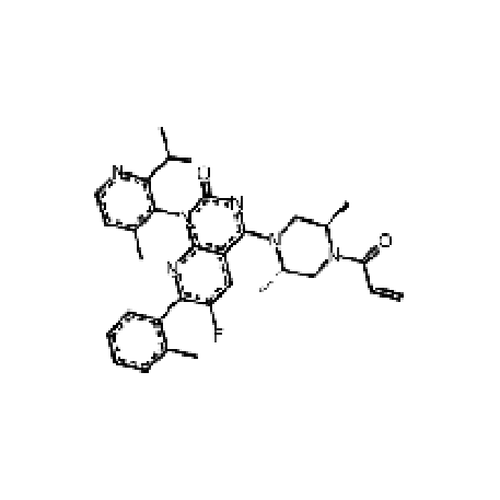 C=CC(=O)N1C[C@H](C)N(c2nc(=O)n(-c3c(C)ccnc3C(C)C)c3nc(-c4ccccc4C)c(F)cc23)C[C@H]1C